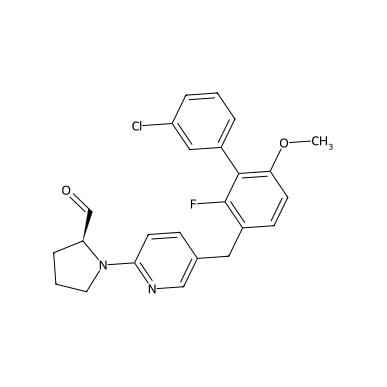 COc1ccc(Cc2ccc(N3CCC[C@H]3C=O)nc2)c(F)c1-c1cccc(Cl)c1